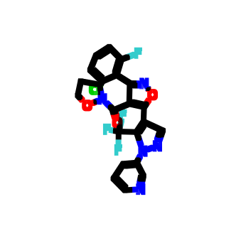 O=C(c1c(-c2c(F)cccc2Cl)noc1-c1cnn(-c2cccnc2)c1C(F)(F)F)N1CCCO1